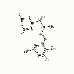 Cc1cc(C)cc(C(=O)N(/N=C/c2cc(Cl)cc(Cl)c2O)C(C)(C)C)c1